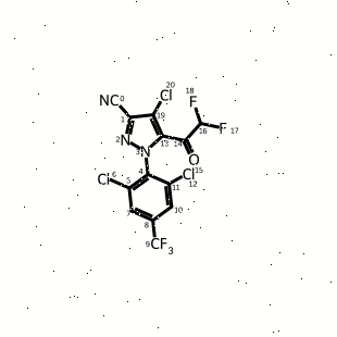 N#Cc1nn(-c2c(Cl)cc(C(F)(F)F)cc2Cl)c(C(=O)C(F)F)c1Cl